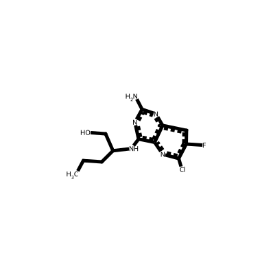 CCCC(CO)Nc1nc(N)nc2cc(F)c(Cl)nc12